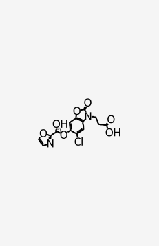 O=C(O)CCn1c(=O)oc2cc(O[C@@H](O)c3ncco3)c(Cl)cc21